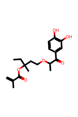 C=C(C)C(=O)OC(C)(CC)CCOC(C)C(=O)c1ccc(O)c(O)c1